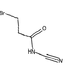 N#CNC(=O)CCBr